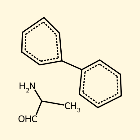 CC(N)C=O.c1ccc(-c2ccccc2)cc1